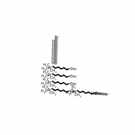 Br.Br.Br.Br.Br.Br.Br.Br.Br.Br.Br.Br.Br.Br.Br.CCCCCCCCCCCCCCCC[N+](C)(C)C.CCCCCCCCCCCCCCCC[N+](C)(C)C.CCCCCCCCCCCCCCCC[N+](C)(C)C.CCCCCCCCCCCCCCCC[N+](C)(C)C.CCCCCCCCCCCCCCCC[N+](C)(C)C.[Br-].[Br-].[Br-].[Br-].[Br-]